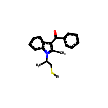 CCSCC(C)n1c(C)c(C(=O)c2ccccc2)c2ccccc21